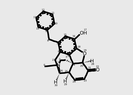 CN1CC[C@]23c4c5c(Cc6ccccc6)cc(O)c4O[C@H]2C(=O)C=C[C@H]3[C@H]1C5